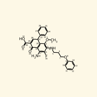 COc1c(NCCCOc2ccccc2)c(F)c(N)c2c1C(c1ccccc1)C=C(C(=O)O)C2=O